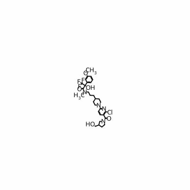 COc1cccc(C(O)(C(=O)N(C)CCCC2CCN(c3ccc(C(=O)N4CCC(CO)C4)c(Cl)n3)CC2)C(F)(F)F)c1